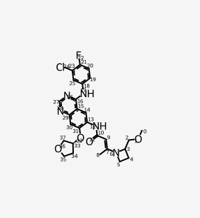 COCC1CCN1/C(C)=C/C(=O)Nc1cc2c(Nc3ccc(F)c(Cl)c3)ncnc2cc1O[C@H]1CCOC1